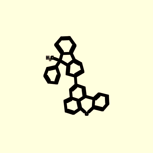 CC1(c2ccccc2)c2ccccc2-c2ccc(-c3cc4c5c(cccc5c3)Oc3ccccc3-4)cc21